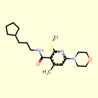 CCSc1nc(N2CCOCC2)cc(C)c1C(=O)NCCCC1CCCC1